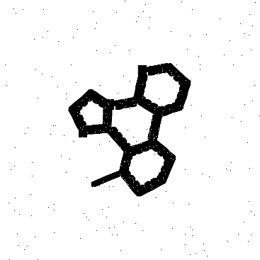 Cc1cccc2c3cccnc3n3ccnc3c12